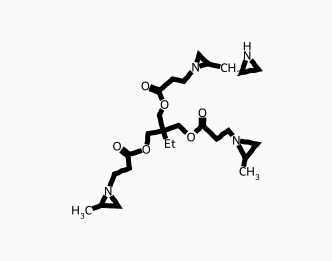 C1CN1.CCC(COC(=O)CCN1CC1C)(COC(=O)CCN1CC1C)COC(=O)CCN1CC1C